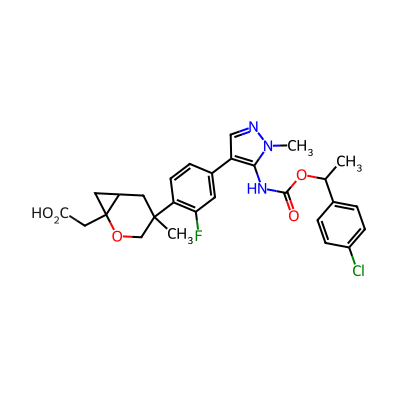 CC(OC(=O)Nc1c(-c2ccc(C3(C)COC4(CC(=O)O)CC4C3)c(F)c2)cnn1C)c1ccc(Cl)cc1